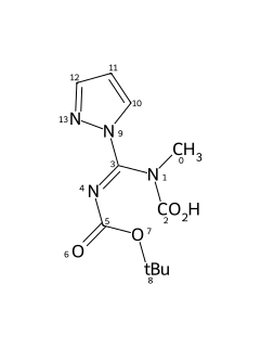 CN(C(=O)O)C(=NC(=O)OC(C)(C)C)n1cccn1